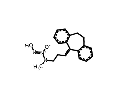 CN(CCC=C1c2ccccc2CCc2ccccc21)/[N+]([O-])=N/O